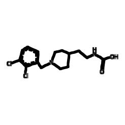 O=C(O)NCCC1CCN(Cc2cccc(Cl)c2Cl)CC1